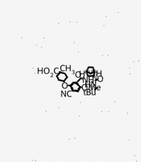 COc1cc(C#N)c(OC2CCC(C)(C(=O)O)CC2)cc1C(=O)NC1[C@H]2CC[C@H](C2)[C@@H]1C(=O)NCC(C)(C)C